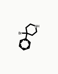 BrC1(c2ccccc2)CCNCC1